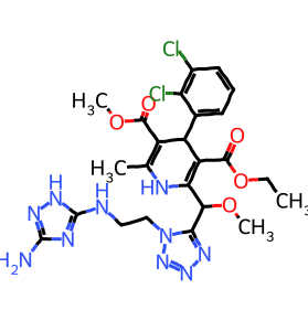 CCOC(=O)C1=C(C(OC)c2nnnn2CCNc2nc(N)n[nH]2)NC(C)=C(C(=O)OC)C1c1cccc(Cl)c1Cl